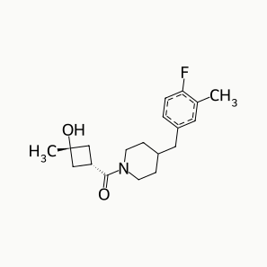 Cc1cc(CC2CCN(C(=O)[C@H]3C[C@@](C)(O)C3)CC2)ccc1F